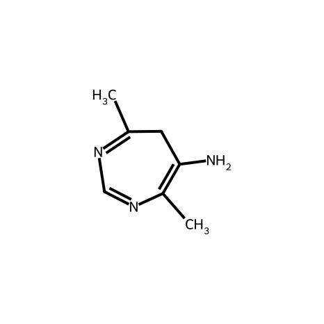 CC1=NC=NC(C)=C(N)C1